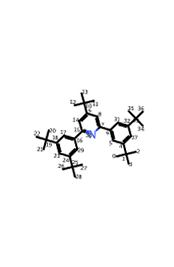 CC(C)(C)c1cc(-c2cc(C(C)(C)C)cc(-c3cc(C(C)(C)C)cc(C(C)(C)C)c3)n2)cc(C(C)(C)C)c1